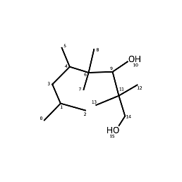 CC(C)CC(C)C(C)(C)C(O)C(C)(C)CO